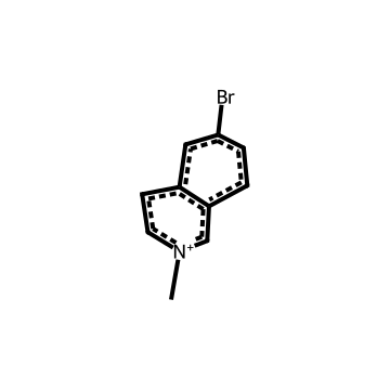 C[n+]1ccc2cc(Br)ccc2c1